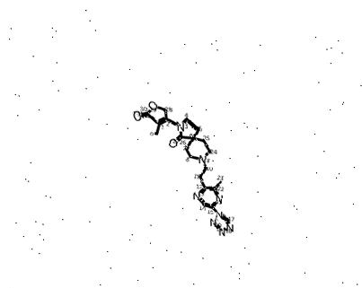 CC1=C(N2C=CC3(CCN(CCc4ncc(-n5cnnn5)nc4C)CC3)C2=O)COC1=O